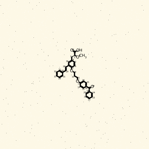 CO[C@@H](Cc1ccc(OCCCOc2ccc(C(=O)c3ccccc3)cc2)c(/C=C/c2ccccc2)c1)C(=O)O